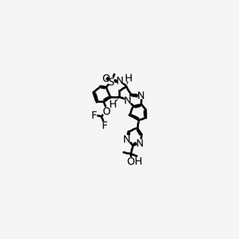 CC(C)(O)c1ncc(-c2ccc3nc4n(c3c2)[C@@H]2C[C@H]4N=S(C)(=O)c3cccc(OC(F)F)c32)cn1